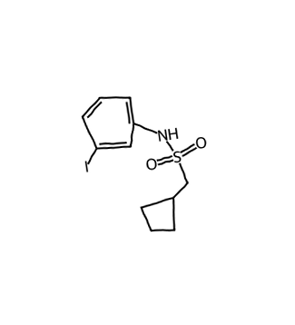 O=S(=O)(CC1CCC1)Nc1cccc(I)c1